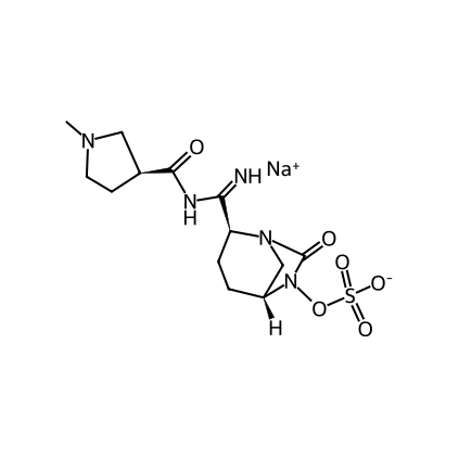 CN1CC[C@H](C(=O)NC(=N)[C@@H]2CC[C@@H]3CN2C(=O)N3OS(=O)(=O)[O-])C1.[Na+]